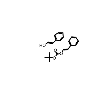 CC(C)(C)OC(=O)OC=Cc1ccccc1.OC=Cc1ccccc1